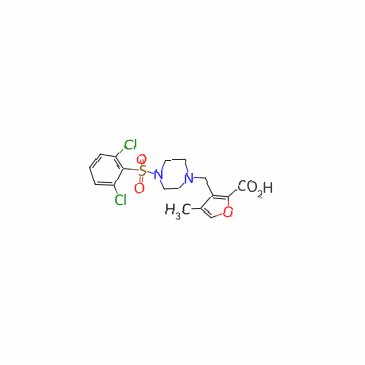 Cc1coc(C(=O)O)c1CN1CCN(S(=O)(=O)c2c(Cl)cccc2Cl)CC1